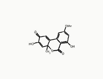 COc1cc(O)c2c(c1)C1=CC(=O)C(O)=CC1(C)OC2=O